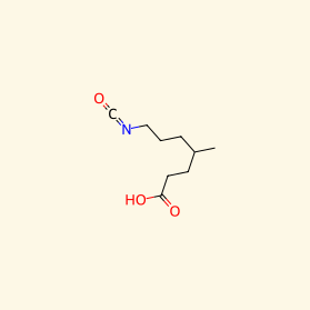 CC(CCCN=C=O)CCC(=O)O